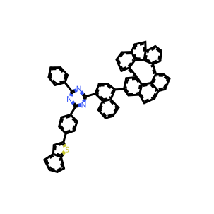 c1ccc(-c2nc(-c3ccc(-c4cc5ccccc5s4)cc3)nc(-c3ccc(-c4cc5ccc6cccc7c8cccc9ccc%10cccc(c(c4)c5c67)c%10c98)c4ccccc34)n2)cc1